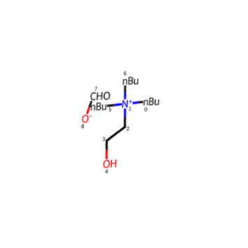 CCCC[N+](CCO)(CCCC)CCCC.O=C[O-]